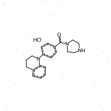 Cl.O=C(c1ccc(N2CCCc3ccccc32)cc1)N1CCNCC1